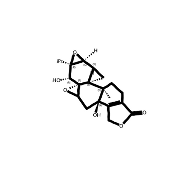 CC(C)[C@]12O[C@H]1[C@@H]1C[C@@]13[C@@]1(C)CCC4=C(COC4=O)[C@]1(O)CC1O[C@@]13[C@@H]2O